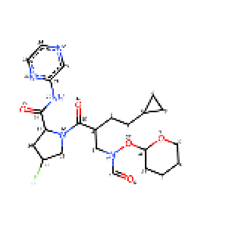 O=CN(CC(CCC1CC1)C(=O)N1CC(F)CC1C(=O)Nc1cnccn1)OC1CCCCO1